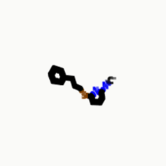 [C-]#[N+]c1cccc(SCCCc2ccccc2)n1